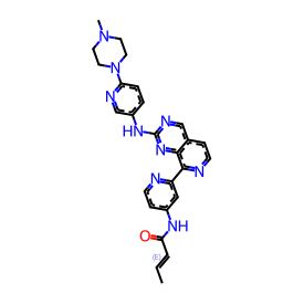 C/C=C/C(=O)Nc1ccnc(-c2nccc3cnc(Nc4ccc(N5CCN(C)CC5)nc4)nc23)c1